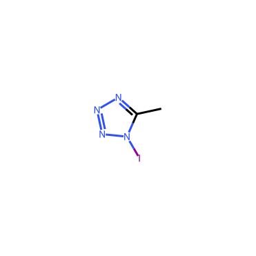 Cc1nnnn1I